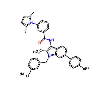 CCCCc1ccc(-c2ccc3c(NC(=O)c4cccc(-n5c(C)ccc5C)c4)c(C(=O)O)n(Cc4cccc(Cl)c4)c3c2)cc1.[Na]